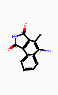 Cc1c2c(c3ccccc3c1N)C(=O)NC2=O